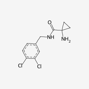 NC1(C(=O)NCc2ccc(Cl)c(Cl)c2)CC1